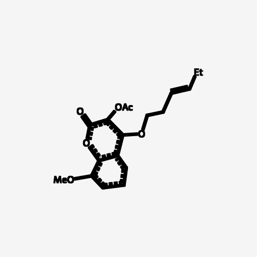 CCC=CCCOc1c(OC(C)=O)c(=O)oc2c(OC)cccc12